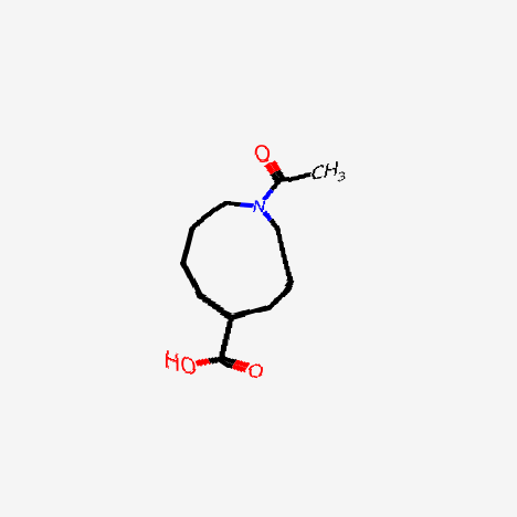 CC(=O)N1CCCCC(C(=O)O)CCC1